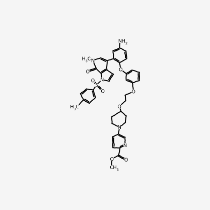 COC(=O)c1ccc(N2CCC(OCCOc3cccc(Oc4ccc(N)cc4-c4cn(C)c(=O)c5c4ccn5S(=O)(=O)c4ccc(C)cc4)c3)CC2)cn1